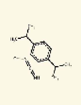 CC(C)c1ccc(C(C)C)cc1.CN=C=N